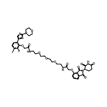 O=C(COc1cccc2c1C(=O)N(C1CCC(=O)NC1=O)C2=O)NCCOCCOCCOCCNC(=O)COc1c(-c2csc(N3CCOCC3)n2)ccc(F)c1F